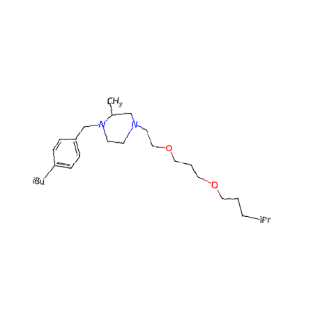 CCC(C)c1ccc(CN2CCN(CCOCCCOCCCC(C)C)CC2C)cc1